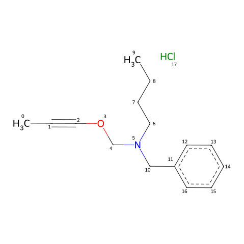 CC#COCN(CCCC)Cc1ccccc1.Cl